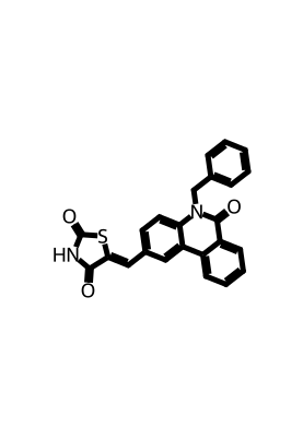 O=C1NC(=O)C(=Cc2ccc3c(c2)c2ccccc2c(=O)n3Cc2ccccc2)S1